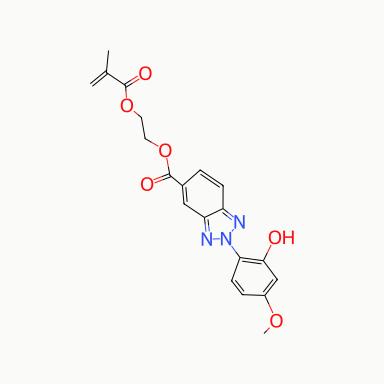 C=C(C)C(=O)OCCOC(=O)c1ccc2nn(-c3ccc(OC)cc3O)nc2c1